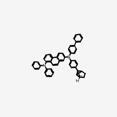 C1=C(c2ccc(N(c3ccc(-c4ccccc4)cc3)c3ccc4c(ccc5c(N(c6ccccc6)c6ccccc6)cccc54)c3)cc2)C2CC[C@H]1C2